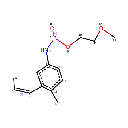 C/C=C\c1cc(N[PH](=O)OCCOC)ccc1C